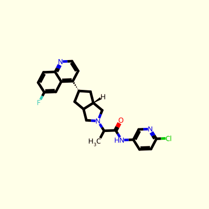 CC(C(=O)Nc1ccc(Cl)nc1)N1CC2C[C@H](c3ccnc4ccc(F)cc34)C[C@@H]2C1